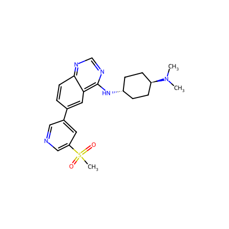 CN(C)[C@H]1CC[C@H](Nc2ncnc3ccc(-c4cncc(S(C)(=O)=O)c4)cc23)CC1